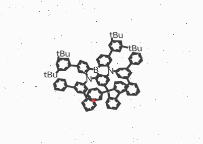 CC(C)(C)c1cc(-c2ccc3c(c2)N(c2cc(-c4ccccc4)cc(-c4ccccc4)c2)c2cc(C4(c5ccccc5)c5ccccc5-c5ccccc54)cc4c2B3c2ccc(-c3cc(C(C)(C)C)cc(C(C)(C)C)c3)cc2N4c2cc(-c3ccccc3)cc(-c3ccccc3)c2)cc(C(C)(C)C)c1